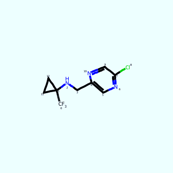 FC(F)(F)C1(NCc2cnc(Cl)cn2)CC1